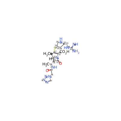 CC(NC(=O)Cn1cnnn1)[C@H]1C(=O)N2C(C(=O)O)=C(S[C@@H]3CN[C@H](CNC(=N)N)C3)[C@H](C)[C@H]12